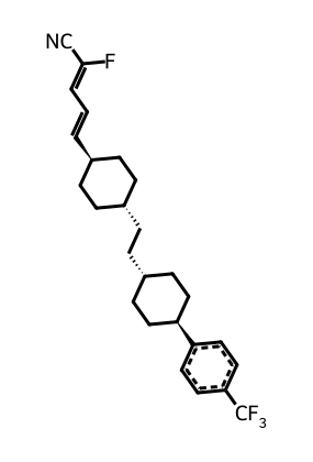 N#CC(F)=CC=C[C@H]1CC[C@H](CC[C@H]2CC[C@H](c3ccc(C(F)(F)F)cc3)CC2)CC1